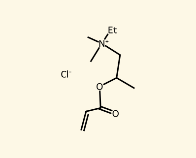 C=CC(=O)OC(C)C[N+](C)(C)CC.[Cl-]